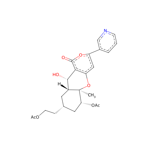 CC(=O)OCC[C@@H]1C[C@@H]2[C@H](O)c3c(cc(-c4cccnc4)oc3=O)O[C@@]2(C)[C@H](OC(C)=O)C1